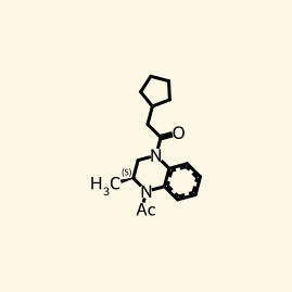 CC(=O)N1c2ccccc2N(C(=O)CC2CCCC2)C[C@@H]1C